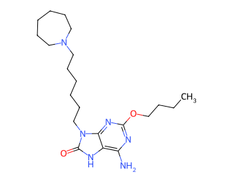 CCCCOc1nc(N)c2[nH]c(=O)n(CCCCCCN3CCCCCC3)c2n1